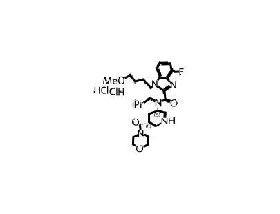 COCCCCn1c(C(=O)N(CC(C)C)[C@@H]2CNC[C@H](C(=O)N3CCOCC3)C2)nc2c(F)cccc21.Cl.Cl